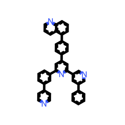 c1ccc(-c2cncc(-c3cc(-c4ccc(-c5cccc6ncccc56)cc4)cc(-c4cccc(-c5ccncc5)c4)n3)c2)cc1